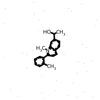 Cc1ccccc1-c1ccc2ccc(C(C)O)cc2[n+]1C